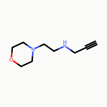 C#CCNCCN1CCOCC1